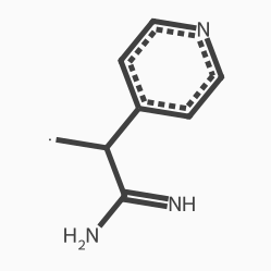 [CH2]C(C(=N)N)c1ccncc1